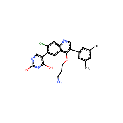 Cc1cc(C)cc(-c2cnc3cc(Cl)c(-c4cnc(O)nc4O)cc3c2OCCCN)c1